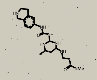 CNC(=O)CCNC1CC(C)NC(NC(=O)Nc2ccc3c(c2)CCNC3)N1